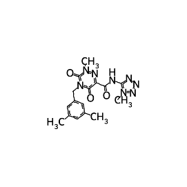 Cc1cc(C)cc(Cn2c(=O)c(C(=O)Nc3nnnn3C)nn(C)c2=O)c1